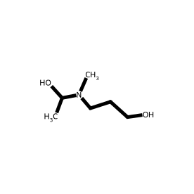 CC(O)N(C)CCCO